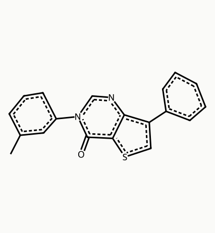 Cc1cccc(-n2cnc3c(-c4ccccc4)csc3c2=O)c1